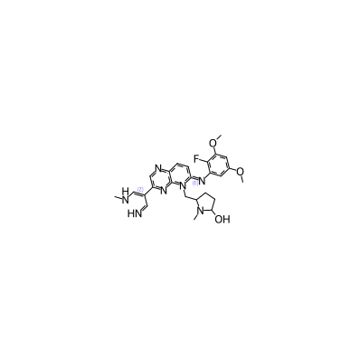 CN/C=C(\C=N)c1cnc2cc/c(=N\c3cc(OC)cc(OC)c3F)n(CC3CCC(O)N3C)c2n1